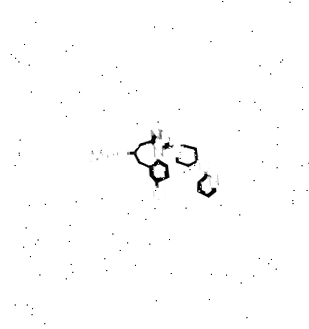 COC1Cc2cc(Cl)ccc2-n2c(nnc2N2CCC(Oc3ccccn3)CC2)C1